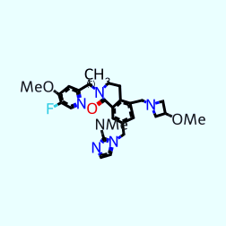 CNc1nccn1Cc1cc(CN2CC(OC)C2)c2c(c1)C(=O)N([C@@H](C)c1cc(OC)c(F)cn1)CC2